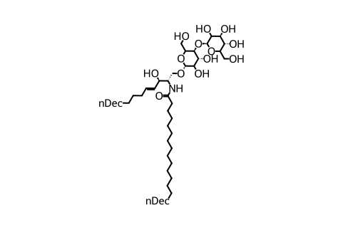 CCCCCCCCCCCCC/C=C/[C@@H](O)[C@H](CO[C@@H]1OC(CO)[C@@H](O[C@@H]2OC(CO)[C@@H](O)[C@H](O)C2O)[C@H](O)C1O)NC(=O)CCCCCCCCCCCCCCCCCCCCCCC